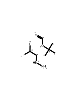 CC(C)(C)OC=O.NNCC(F)F